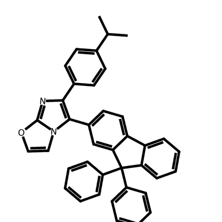 CC(C)c1ccc(-c2nc3occn3c2-c2ccc3c(c2)C(c2ccccc2)(c2ccccc2)c2ccccc2-3)cc1